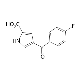 O=C(c1ccc(F)cc1)c1c[nH]c(C(=O)O)c1